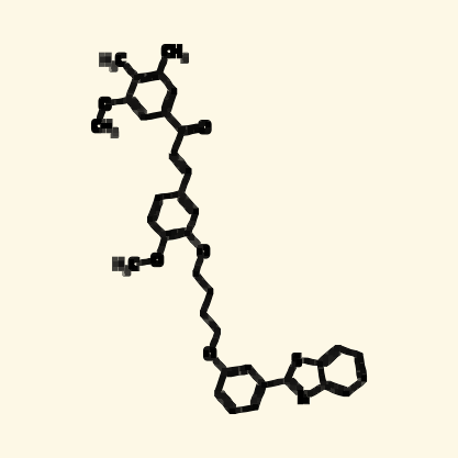 COc1ccc(/C=C/C(=O)c2cc(C)c(C)c(OC)c2)cc1OCCCCOc1cccc(-c2nc3ccccc3s2)c1